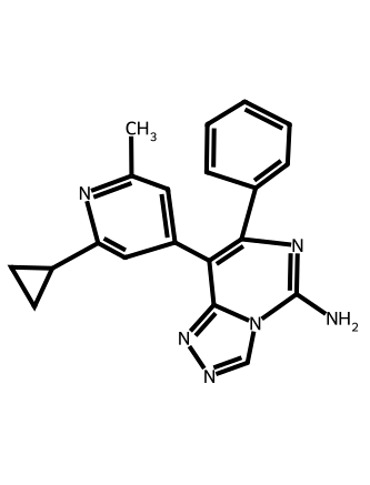 Cc1cc(-c2c(-c3ccccc3)nc(N)n3cnnc23)cc(C2CC2)n1